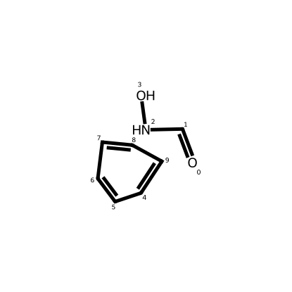 O=CNO.c1ccccc1